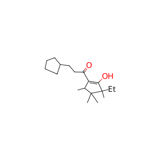 CCC1(C)C(O)=C(C(=O)CCC2CCCC2)C(C)C1(C)C